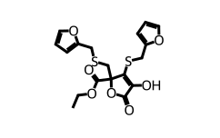 CCOC(=O)C1(CSCc2ccco2)OC(=O)C(O)=C1SCc1ccco1